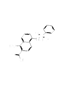 O=C(Cl)c1ccc2c(NS(=O)(=O)c3ccccc3)cccc2c1O